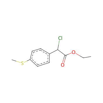 CCOC(=O)C(Cl)c1ccc(SC)cc1